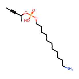 CC#CC(C)OP(=O)(O)OCCCCCCCCCCCN